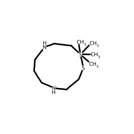 CS1(C)(C)(C)CCNCCCNCCS1